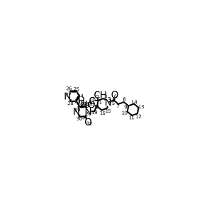 CC1(C)CN(C(=O)CCC2CCCCC2)CCC1(O)Cn1cc(-c2cccnc2)ncc1=O